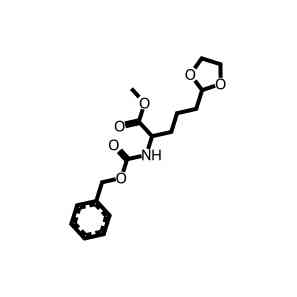 COC(=O)C(CCCC1OCCO1)NC(=O)OCc1ccccc1